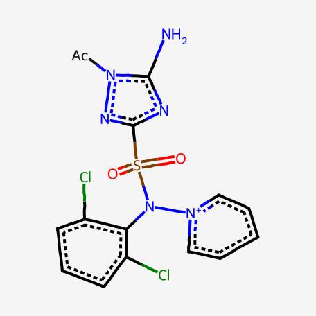 CC(=O)n1nc(S(=O)(=O)N(c2c(Cl)cccc2Cl)[n+]2ccccc2)nc1N